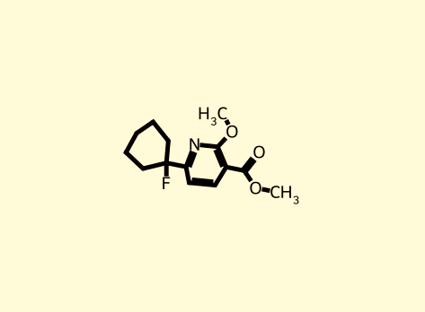 COC(=O)c1ccc(C2(F)CCCCC2)nc1OC